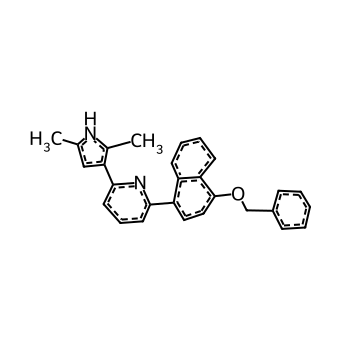 Cc1cc(-c2cccc(-c3ccc(OCc4ccccc4)c4ccccc34)n2)c(C)[nH]1